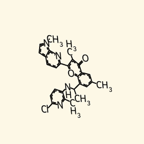 Cc1cc(C(C)Nc2ccc(Cl)nc2C)c2oc(-c3ccc4ccn(C)c4n3)c(C)c(=O)c2c1